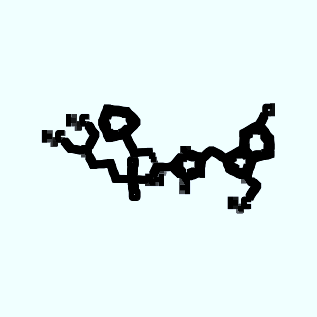 CCN(CC)CCCS(=O)(=O)N[C@H](CCc1ccccc1)c1nc(Cc2cn(CC)c3ccc(Cl)cc23)n[nH]1